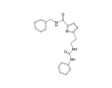 O=C(NCCc1nc(C(=O)NCc2ccccc2)cs1)Nc1ccccc1